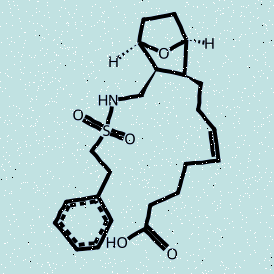 O=C(O)CCC/C=C\CC[C@H]1[C@@H](CNS(=O)(=O)CCc2ccccc2)[C@H]2CC[C@@H]1O2